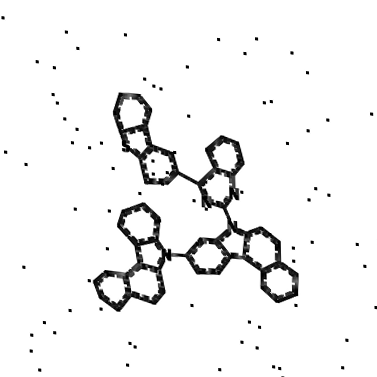 c1ccc2c(c1)ccc1c2c2ccccc2n1-c1ccc2c3c4ccccc4ccc3n(-c3nc(-c4ccc5sc6ccccc6c5c4)c4ccccc4n3)c2c1